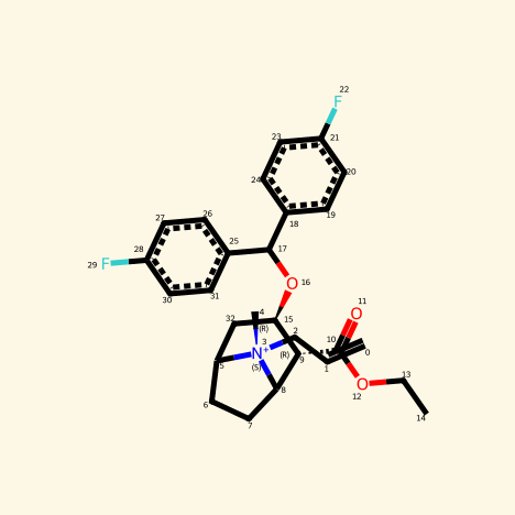 C=CC[N@@+]1(C)C2CCC1[C@@H](C(=O)OCC)[C@H](OC(c1ccc(F)cc1)c1ccc(F)cc1)C2